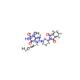 CC#CCn1c(N2CCC[C@@H](N3C(=O)c4ccccc4C3=O)C2)nc2c1c(=O)[nH]c(=O)n2C